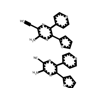 C#Cc1nc(-c2ccncc2)c(-c2ccco2)nc1N.N#Cc1nc(-c2ccncc2)c(-c2ccco2)nc1N